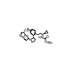 CC(C)(C)OC(=O)NN(CCc1ccc(F)cc1[C@H]1CCCN1C1=NC2C(C(=O)O)C=NN2C=C1)C1CC1